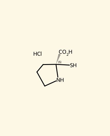 Cl.O=C(O)[C@@]1(S)CCCN1